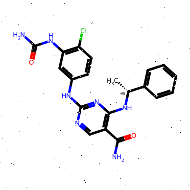 C[C@@H](Nc1nc(Nc2ccc(Cl)c(NC(N)=O)c2)ncc1C(N)=O)c1ccccc1